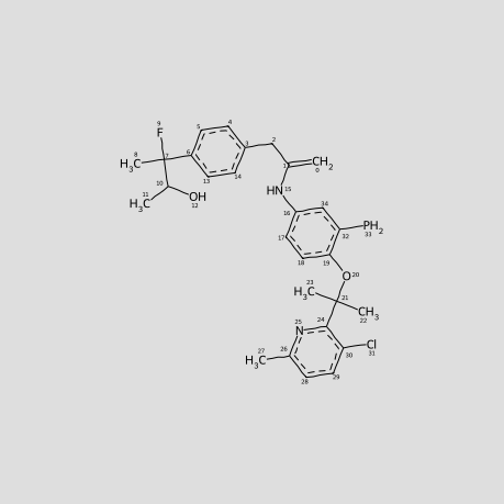 C=C(Cc1ccc(C(C)(F)C(C)O)cc1)Nc1ccc(OC(C)(C)c2nc(C)ccc2Cl)c(P)c1